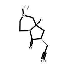 C#CC[C@H]1C[C@H]2CN(C(=O)O)CCN2C1=O